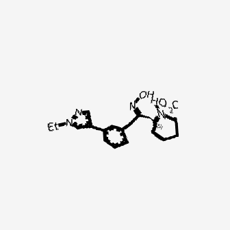 CCn1cc(-c2cccc(C(=NO)[C@@H]3CCCCN3C(=O)O)c2)cn1